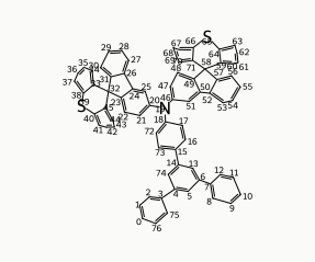 c1ccc(-c2cc(-c3ccccc3)cc(-c3ccc(N(c4ccc5c(c4)-c4ccccc4C54c5ccccc5Sc5ccccc54)c4ccc5c(c4)-c4ccccc4C54c5ccccc5Sc5ccccc54)cc3)c2)cc1